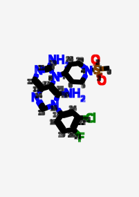 CS(=O)(=O)N1CCC(N2C(N)=NC=C3N=CN(c4ccc(F)c(Cl)c4)C(N)=C32)CC1